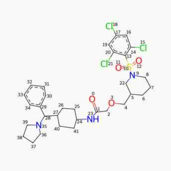 O=C(COCC1CCCN(S(=O)(=O)c2c(Cl)cc(Cl)cc2Cl)C1)NC1CCC(C(c2ccccc2)N2CCCC2)CC1